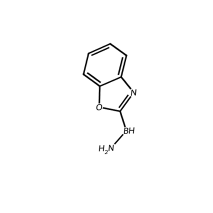 NBc1nc2ccccc2o1